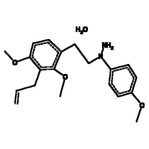 C=CCc1c(OC)ccc(CCN(N)c2ccc(OC)cc2)c1OC.O